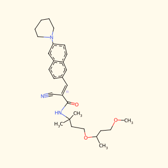 COCCC(C)OCCC(C)(C)NC(=O)/C(C#N)=C/c1ccc2cc(N3CCCCC3)ccc2c1